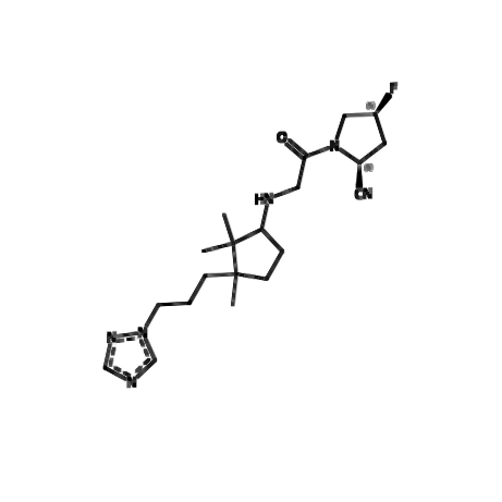 CC1(CCCn2cncn2)CCC(NCC(=O)N2C[C@@H](F)C[C@H]2C#N)C1(C)C